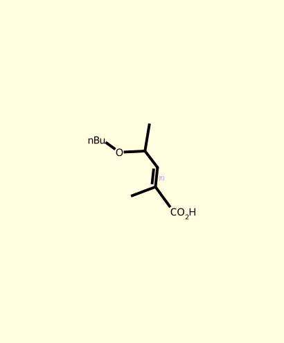 CCCCOC(C)/C=C(\C)C(=O)O